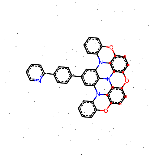 c1ccc(-c2ccc(-c3cc(N4c5ccccc5Oc5ccccc54)c(N4c5ccccc5Oc5ccccc54)c(N4c5ccccc5Oc5ccccc54)c3)cc2)nc1